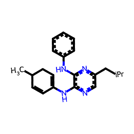 CC(C)Cc1cnc(NC2=CCC(C)C=C2)c(Nc2ccccc2)n1